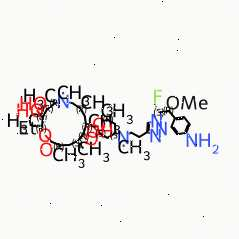 CC[C@H]1OC(=O)[C@H](C)C[C@H](C)[C@@H](O[C@H]2C[C@@H](N(C)CCc3cn([C@H](CF)[C@H](OC)c4ccc(N)cc4)nn3)C[C@@H](C)O2)[C@](C)(O)C[C@@H](C)CN(C)[C@H](C)[C@@H](O)[C@]1(C)O